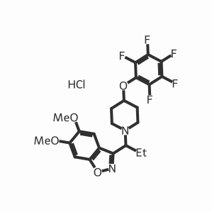 CCC(c1noc2cc(OC)c(OC)cc12)N1CCC(Oc2c(F)c(F)c(F)c(F)c2F)CC1.Cl